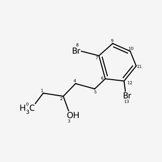 CCC(O)CCc1c(Br)cccc1Br